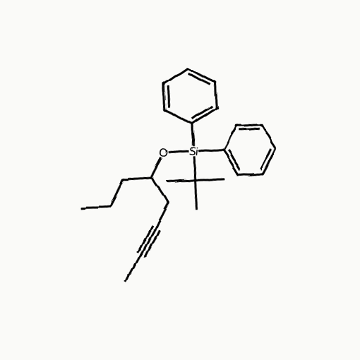 CC#CCC(CCC)O[Si](c1ccccc1)(c1ccccc1)C(C)(C)C